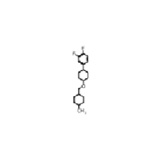 CC1CCC(COC2CCC(c3ccc(F)c(F)c3)CC2)CC1